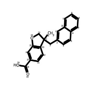 CC1(Cc2ccc3ccccc3c2)COc2cc(C(=O)O)ccc21